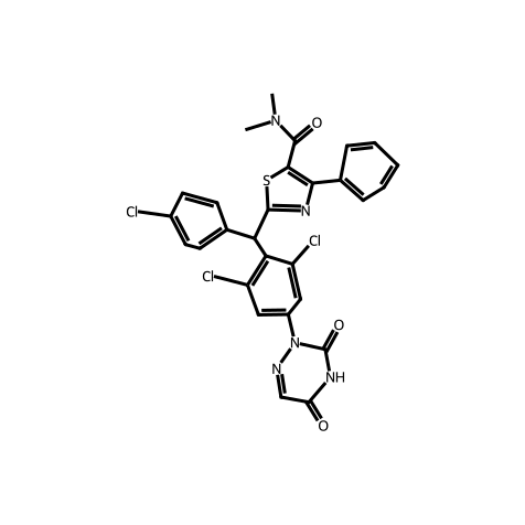 CN(C)C(=O)c1sc(C(c2ccc(Cl)cc2)c2c(Cl)cc(-n3ncc(=O)[nH]c3=O)cc2Cl)nc1-c1ccccc1